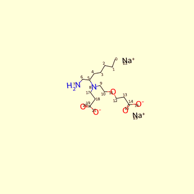 CCCCCC(CN)N(CCOCCC(=O)[O-])CCC(=O)[O-].[Na+].[Na+]